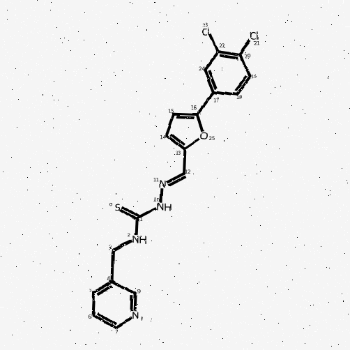 S=C(NCc1cccnc1)N/N=C/c1ccc(-c2ccc(Cl)c(Cl)c2)o1